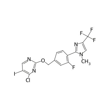 Cn1cc(C(F)(F)F)nc1-c1ccc(COc2ncc(I)c(Cl)n2)cc1F